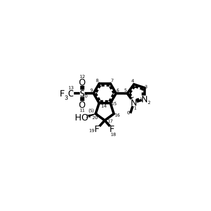 Cn1nccc1-c1ccc(S(=O)(=O)C(F)(F)F)c2c1CC(F)(F)[C@H]2O